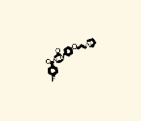 O=C(c1ccc(F)cc1)N1CCN(c2ccc(OCCCN3CCCC3)cc2)C(=O)C1